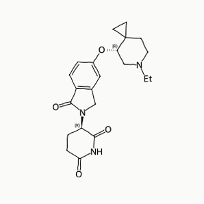 CCN1CCC2(CC2)[C@@H](Oc2ccc3c(c2)CN([C@@H]2CCC(=O)NC2=O)C3=O)C1